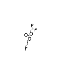 O=C(OCCCF)OCC(F)F